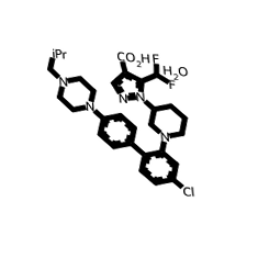 CC(C)CN1CCN(c2ccc(-c3ccc(Cl)cc3N3CCCC(n4ncc(C(=O)O)c4C(F)F)C3)cc2)CC1.O